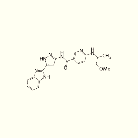 COCC(C)Nc1ccc(C(=O)Nc2cc(-c3nc4ccccc4[nH]3)[nH]n2)cn1